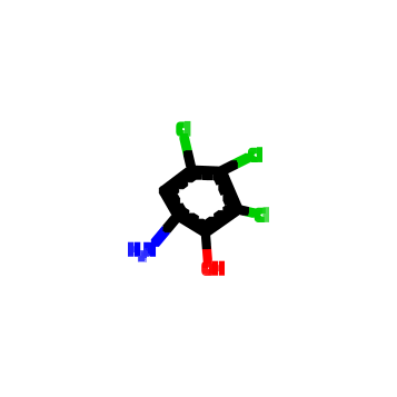 Nc1cc(Cl)c(Cl)c(Cl)c1O